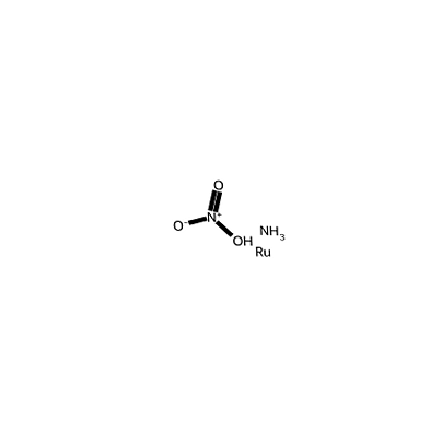 N.O=[N+]([O-])O.[Ru]